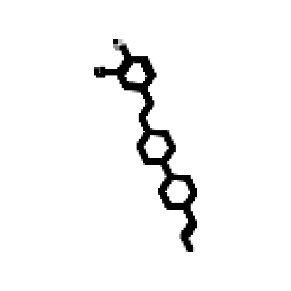 CC=CC1CCC(C2CCC(CCc3ccc(Cl)c(Cl)c3)CC2)CC1